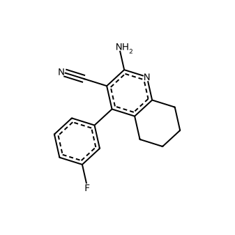 N#Cc1c(N)nc2c(c1-c1cccc(F)c1)CCCC2